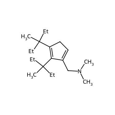 CCC(C)(CC)C1=C(C(C)(CC)CC)C(CN(C)C)=CC1